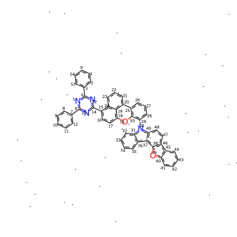 c1ccc(-c2nc(-c3ccccc3)nc(-c3ccc4c5c(cccc35)-c3cccc(-n5c6ccccc6c6c7oc8ccccc8c7ccc65)c3O4)n2)cc1